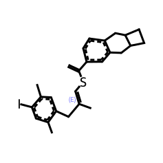 C=C(S/C=C(\C)Cc1cc(C)c(I)cc1C)c1ccc2c(c1)CC1CCC1C2